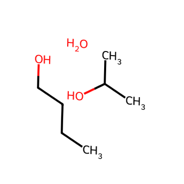 CC(C)O.CCCCO.O